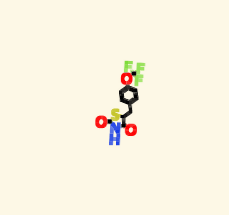 O=C1NC(=O)C(Cc2ccc(OC(F)(F)F)cc2)S1